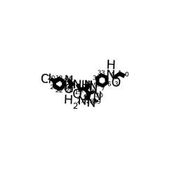 C=CC(=O)N[C@H]1CC[C@@H](n2nc(C(=O)Nc3nc4cc(Cl)ccc4o3)c3c(N)ncnc32)CC1